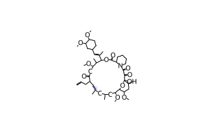 C=CCC1/C=C(\C)CC(C)CC(OC)C2OC(O)(C(=O)C(=O)N3CCCCC3C(=O)OC(C(C)=CC3CCC(OC)C(OC)C3)C(C)C(OC)CC1=O)C(C)CC2OC